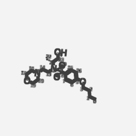 CCCCOc1ccc(S(=O)(=O)N(CCN2CCOCC2)[C@H](C)CO)cc1